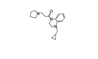 O=C(CCN1CCCC1)N1CCN(CC2CC2)c2ccccc21